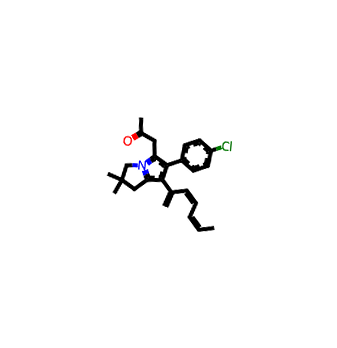 C=C(/C=C\C=C/C)c1c(-c2ccc(Cl)cc2)c(CC(C)=O)n2c1CC(C)(C)C2